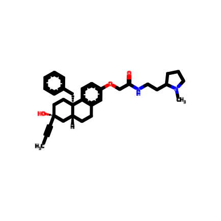 CC#C[C@@]1(O)CC[C@@]2(Cc3ccccc3)c3ccc(OCC(=O)NCCC4CCCN4C)cc3CC[C@@H]2C1